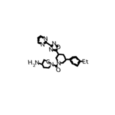 CCc1ccc(C2CC(c3nc(-c4ncccn4)no3)CN(C(=O)N3CCC(N)CC3)C2)cc1